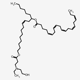 CC/C=C\C/C=C\C/C=C\C/C=C\C/C=C\CCCC(=O)OC(C/C=C\CCCCCCCCOC(=O)CCN(CC)CCO)CCCCCC